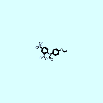 CCOc1ccc(N(C=O)c2ccc([N+](=O)[O-])cc2[N+](=O)[O-])cc1